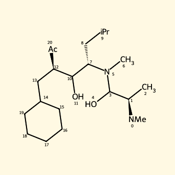 CN[C@H](C)C(O)N(C)[C@@H](CC(C)C)C(O)[C@@H](CC1CCCCC1)C(C)=O